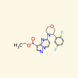 CCOC(=O)c1cnn2ccc(N3CCOCC3c3cc(F)ccc3F)nc12